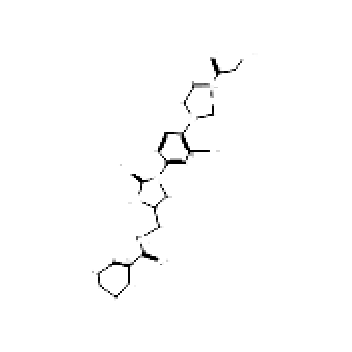 CC(=O)OCC(=O)N1CCN(c2ccc(N3CC(CNC(=S)C4CCCCC4)OC3=O)cc2F)CC1